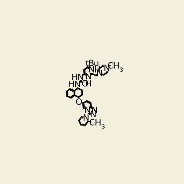 C[C@H]1CCCCN1c1nnc2ccc(O[C@@H]3CC[C@H](NC(=O)N/C(=C/C(=N)C(C)(C)C)NCCN4CCN(C)CC4)c4ccccc43)cn12